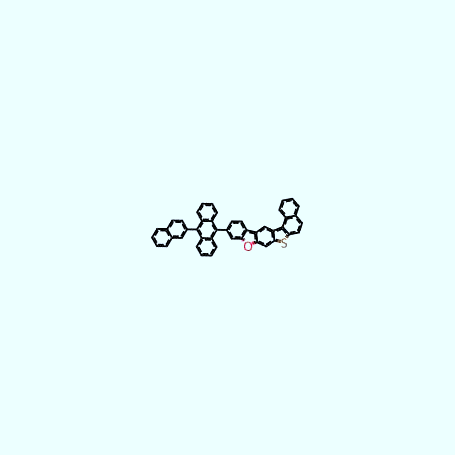 c1ccc2cc(-c3c4ccccc4c(-c4ccc5c(c4)oc4cc6sc7ccc8ccccc8c7c6cc45)c4ccccc34)ccc2c1